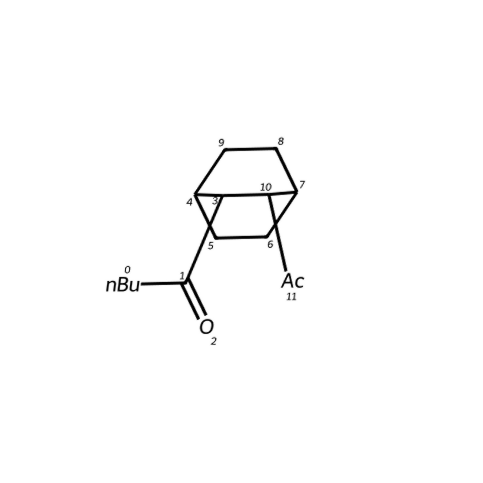 CCCCC(=O)C1C2CCC(CC2)C1C(C)=O